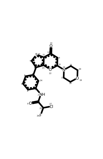 O=C(Nc1cccc(-c2csc3c(=O)cc(N4CCOCC4)oc23)c1)C(F)Cl